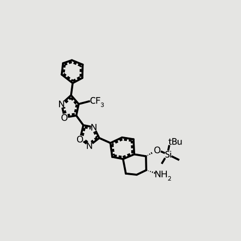 CC(C)(C)[Si](C)(C)O[C@H]1c2ccc(-c3noc(-c4onc(-c5ccccc5)c4C(F)(F)F)n3)cc2CC[C@H]1N